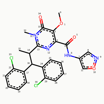 COc1c(C(=O)Nc2cnoc2)nc(C(C)C(c2ccccc2Cl)c2ccccc2Cl)n(C)c1=O